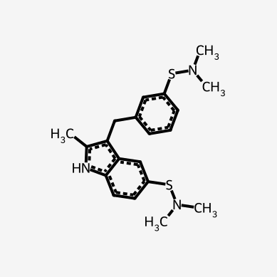 Cc1[nH]c2ccc(SN(C)C)cc2c1Cc1cccc(SN(C)C)c1